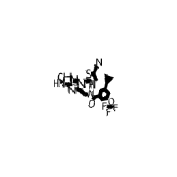 CNc1nc(CNC(=O)c2cc(OC(F)(F)F)cc(C3CC3)c2)n(-c2ncc(C#N)s2)n1